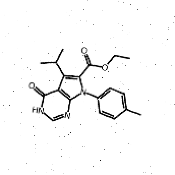 CCOC(=O)c1c(C(C)C)c2c(=O)[nH]cnc2n1-c1ccc(C)cc1